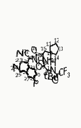 CC(C)(C)[C@H](NC(=O)C(F)(F)F)C(=O)N1CC2(CCCC2)C[C@H]1C(=O)NC(C#N)c1cncc2cc(F)ccc12